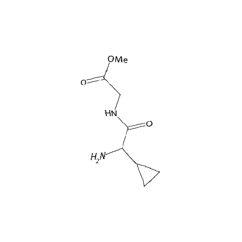 COC(=O)CNC(=O)C(N)C1CC1